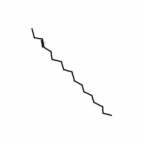 CC/C=C/CCCCCCCCCCCCC